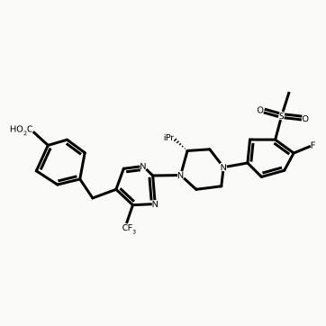 CC(C)[C@@H]1CN(c2ccc(F)c(S(C)(=O)=O)c2)CCN1c1ncc(Cc2ccc(C(=O)O)cc2)c(C(F)(F)F)n1